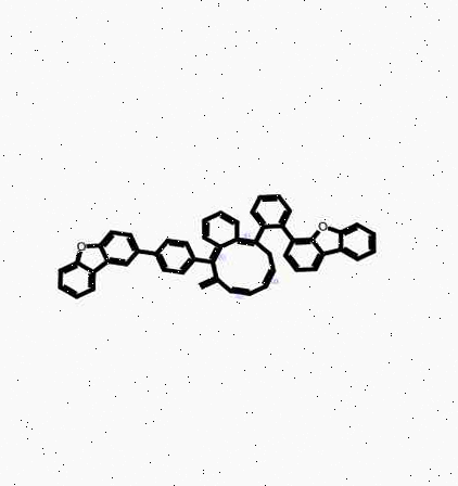 C=C1/C=C\C=C/C/C(c2ccccc2-c2cccc3c2oc2ccccc23)=c2/cccc/c2=C/1c1ccc(-c2ccc3oc4ccccc4c3c2)cc1